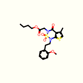 CCCCOC(=O)CN1C(=O)c2c(C)csc2N(CCc2ccccc2OC)S1(=O)=O